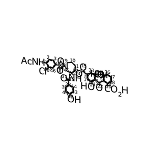 CC(=O)Nc1ccc(S(=O)(=O)N2CCC[C@H](OC(=O)c3cc(O)c(C(=O)c4c(O)cccc4C(=O)O)c(O)c3)[C@@H](NC(=O)c3ccc(O)cc3)C2)cc1Cl